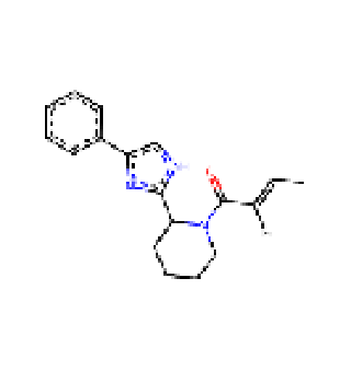 C/C=C(\CC)C(=O)N1CCCCC1c1nc(-c2ccccc2)c[nH]1